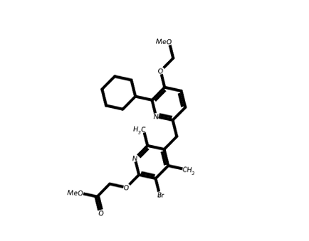 COCOc1ccc(Cc2c(C)nc(OCC(=O)OC)c(Br)c2C)nc1C1CCCCC1